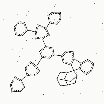 c1ccc(-c2nc(-c3ccccc3)nc(-c3cc(-c4ccc(-c5ccncc5)cc4)cc(-c4ccc5c(c4)C4(c6ccccc6-5)C5CC6CC(C5)CC4C6)c3)n2)cc1